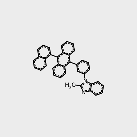 Cc1nc2ccccc2n1-c1cccc(-c2c3ccccc3c(-c3cccc4ccccc34)c3ccccc23)c1